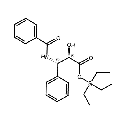 CC[Si](CC)(CC)OC(=O)[C@H](O)[C@@H](NC(=O)c1ccccc1)c1ccccc1